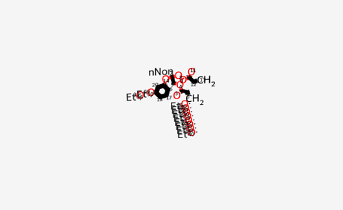 C=CC(=O)OCC(CCCCCCCCC)(OOC(=O)C=C)Oc1ccccc1.[CH2]C[O].[CH2]C[O].[CH2]C[O].[CH2]C[O].[CH2]C[O].[CH2]C[O].[CH2]C[O].[CH2]C[O].[CH2]C[O].[CH2]C[O]